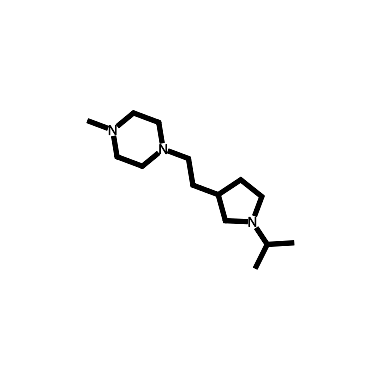 CC(C)N1CCC(CCN2CCN(C)CC2)C1